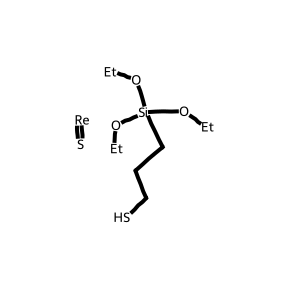 CCO[Si](CCCS)(OCC)OCC.[S]=[Re]